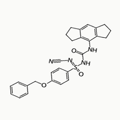 N#CN=S(=O)(NC(=O)Nc1c2c(cc3c1CCC3)CCC2)c1ccc(OCc2ccccc2)cc1